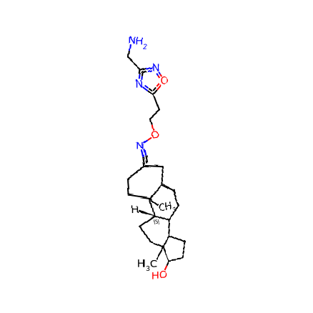 CC12CC[C@H]3C(CCC4CC(=NOCCc5nc(CN)no5)CCC43C)C1CCC2O